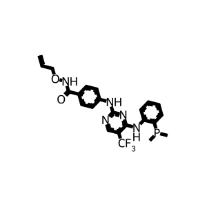 C=CCONC(=O)c1ccc(Nc2ncc(C(F)(F)F)c(Nc3ccccc3P(C)C)n2)cc1